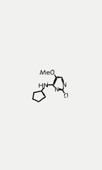 COc1cnc(Cl)nc1NC1CCCC1